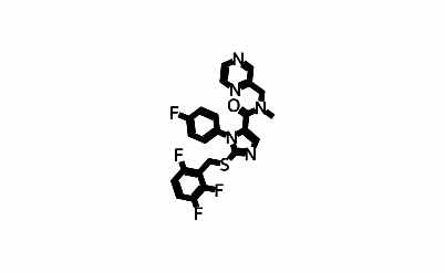 CN(Cc1cnccn1)C(=O)c1cnc(SCc2c(F)ccc(F)c2F)n1-c1ccc(F)cc1